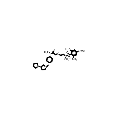 COc1cc(C)c(S(=O)(=O)N(C)CCOCC(=O)N(C)[C@H]2CC[C@@H](CN3CC[C@@H](N4CCCC4)C3)CC2)c(C)c1